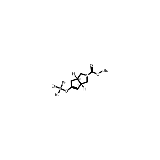 CC[Si](CC)(CC)OC1=C[C@H]2CN(C(=O)OC(C)(C)C)C[C@H]2C1